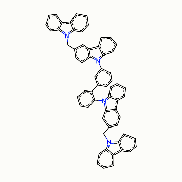 c1cc(-c2ccccc2-n2c3ccccc3c3ccc(Cn4c5ccccc5c5ccccc54)cc32)cc(-n2c3ccccc3c3cc(Cn4c5ccccc5c5ccccc54)ccc32)c1